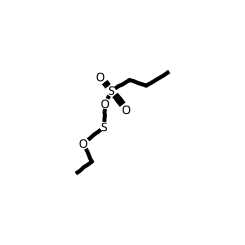 CCCS(=O)(=O)OSOCC